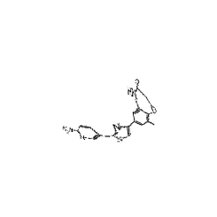 Cc1cc(-c2csc(-c3ccc(N)nc3)n2)cc2c1OCC(=O)N2